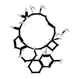 CO[C@H]1/C=C/C[C@H](C)[C@@H](C)S(=O)(=O)NC(=O)c2ccc3c(c2)N(C[C@@H]2CC[C@H]21)CC1(CCCc2cc(Cl)ccc21)CO3